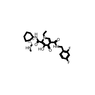 CCn1cc(C(=O)NCc2ccc(F)cc2F)c(=O)c(O)c1C(=O)N[C@H]1CCCC[C@H]1CNC